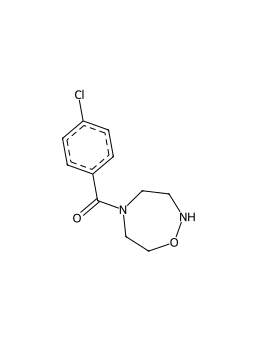 O=C(c1ccc(Cl)cc1)N1CCNOCC1